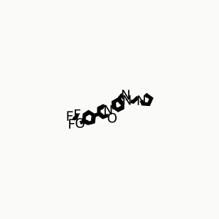 O=c1cc(-c2ccc(OC(F)(F)F)cc2)ccn1-c1ccc2c(cnn2CCN2CCCC2)c1